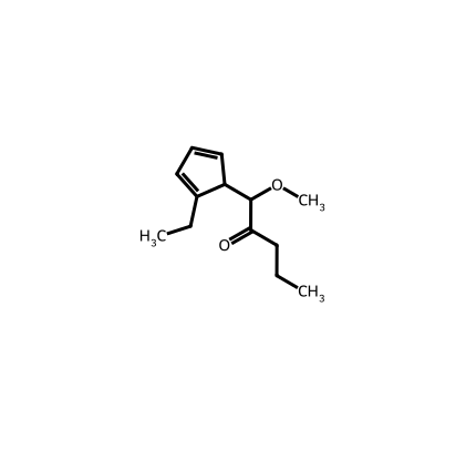 CCCC(=O)C(OC)C1C=CC=C1CC